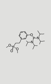 COP(=O)(CCc1cccc(OP(N(C(C)C)C(C)C)N(C(C)C)C(C)C)c1)OC